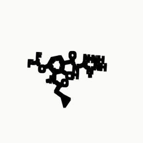 CN1NNN=C1NC(=O)c1ccc(OC(F)F)c(N(C)C(=O)CC2CC2)c1Cl